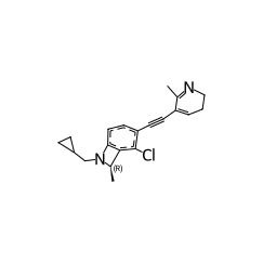 CC1=NCCC=C1C#Cc1ccc2c(c1Cl)[C@@H](C)N2CC1CC1